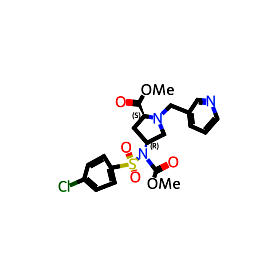 COC(=O)[C@@H]1C[C@@H](N(C(=O)OC)S(=O)(=O)c2ccc(Cl)cc2)CN1Cc1cccnc1